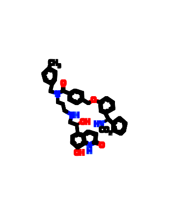 Cc1ccc(CN(CCCNC[C@H](O)c2ccc(O)c3[nH]c(=O)ccc23)C(=O)c2ccc(COc3cccc([C@@H](NC(=O)O)c4ccccc4)c3)cc2)cc1